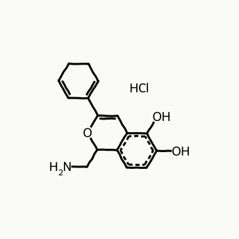 Cl.NCC1OC(C2=CCCC=C2)=Cc2c1ccc(O)c2O